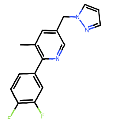 Cc1cc(Cn2cccn2)cnc1-c1ccc(F)c(F)c1